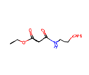 CCOC(=O)CC(=O)NCCO